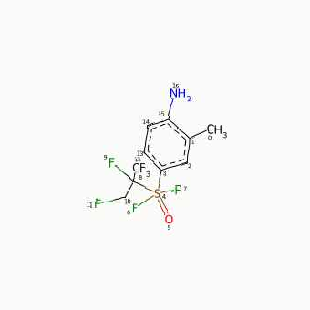 Cc1cc(S(=O)(F)(F)C(F)(CF)C(F)(F)F)ccc1N